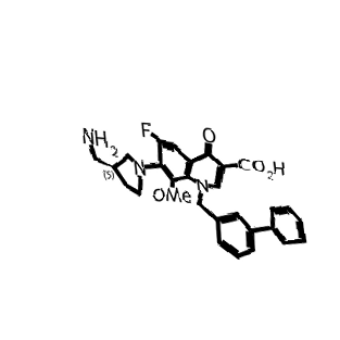 COc1c(N2CC[C@@H](CN)C2)c(F)cc2c(=O)c(C(=O)O)cn(Cc3cccc(-c4ccccc4)c3)c12